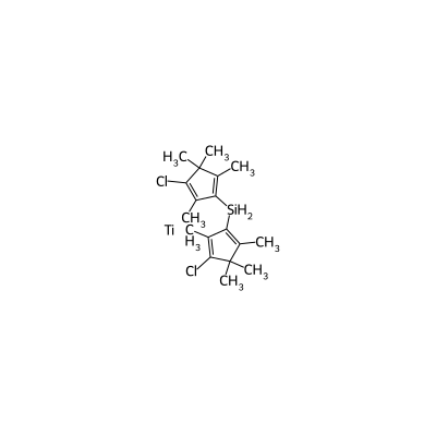 CC1=C(Cl)C(C)(C)C(C)=C1[SiH2]C1=C(C)C(C)(C)C(Cl)=C1C.[Ti]